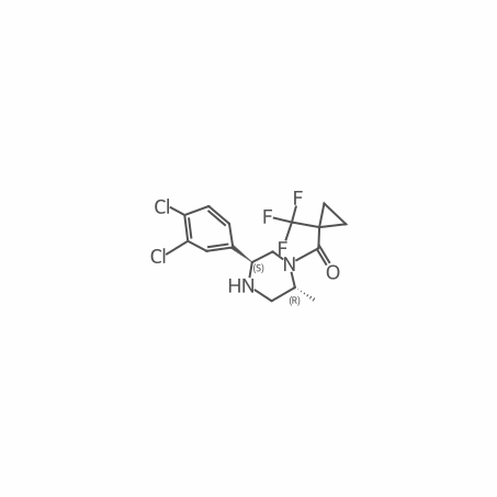 C[C@@H]1CN[C@@H](c2ccc(Cl)c(Cl)c2)CN1C(=O)C1(C(F)(F)F)CC1